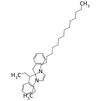 CCCCCCCCCCCCCCCN1C=CN(CCC)C1(Cc1ccccc1)C(CC)c1ccccc1